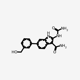 NC(=O)Nc1[nH]c2cc(-c3cccc(CO)c3)ccc2c1C(N)=O